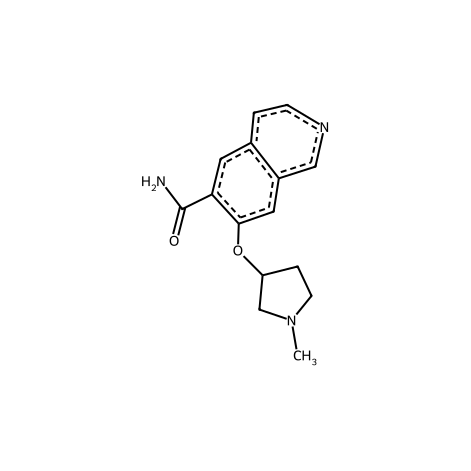 CN1CCC(Oc2cc3cnccc3cc2C(N)=O)C1